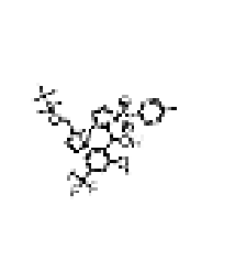 COc1cc(C(F)(F)F)ccc1C(O)c1c(-n2cccc2CO[Si](C)(C)C(C)(C)C)ccn1S(=O)(=O)c1ccc(C)cc1